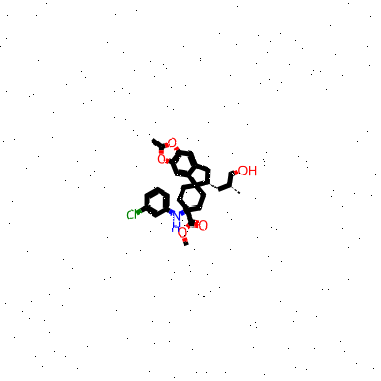 COC(=O)C1(Nc2cccc(Cl)c2)CCC2(CC1)c1cc3c(cc1C[C@@H]2C[C@@H](C)CO)OC(C)O3